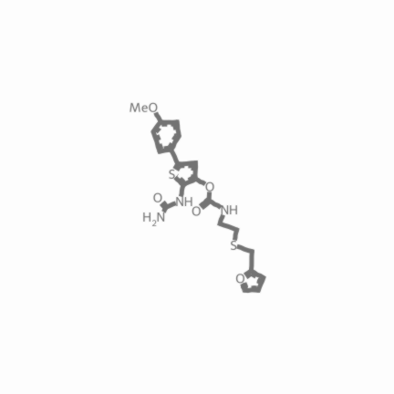 COc1ccc(-c2cc(OC(=O)NCCSCc3ccco3)c(NC(N)=O)s2)cc1